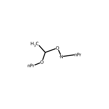 CCC[N]OC(C)OCCC